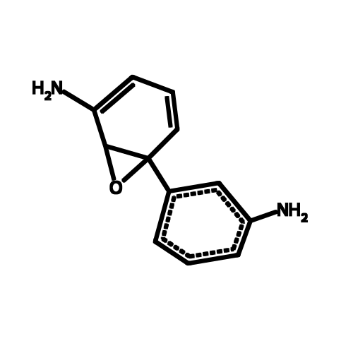 NC1=CC=CC2(c3cccc(N)c3)OC12